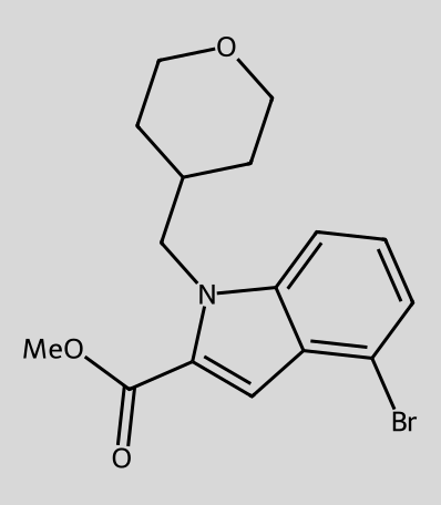 COC(=O)c1cc2c(Br)cccc2n1CC1CCOCC1